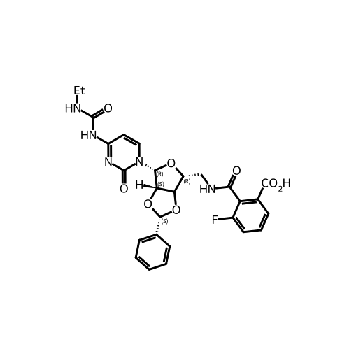 CCNC(=O)Nc1ccn([C@@H]2O[C@H](CNC(=O)c3c(F)cccc3C(=O)O)C3O[C@H](c4ccccc4)O[C@@H]32)c(=O)n1